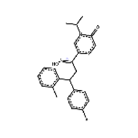 Cc1ccccc1C(C/C(=N\O)c1ccc(=O)n(C(C)C)c1)c1ccc(Br)cc1